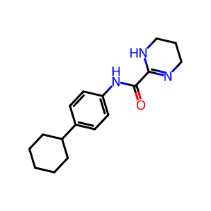 O=C(Nc1ccc(C2CCCCC2)cc1)C1=NCCCN1